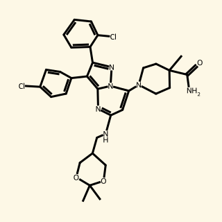 CC1(C)OCC(CNc2cc(N3CCC(C)(C(N)=O)CC3)n3nc(-c4ccccc4Cl)c(-c4ccc(Cl)cc4)c3n2)CO1